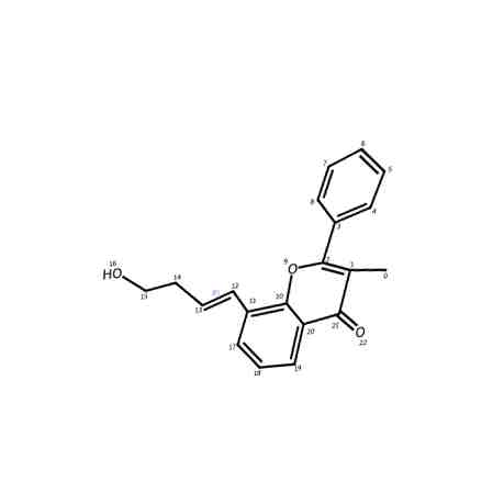 Cc1c(-c2ccccc2)oc2c(/C=C/CCO)cccc2c1=O